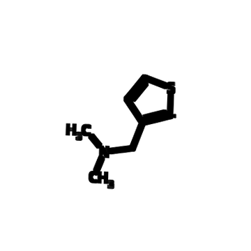 CN(C)Cc1[c]scc1